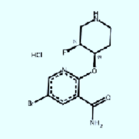 Cl.NC(=O)c1cc(Br)cnc1O[C@@H]1CCNC[C@@H]1F